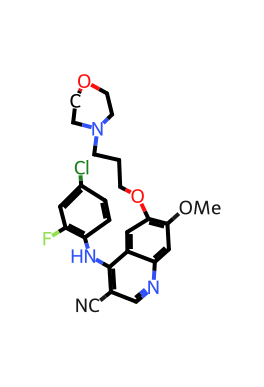 COc1cc2ncc(C#N)c(Nc3ccc(Cl)cc3F)c2cc1OCCCN1CCOCC1